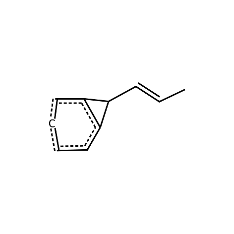 CC=CC1c2ccccc21